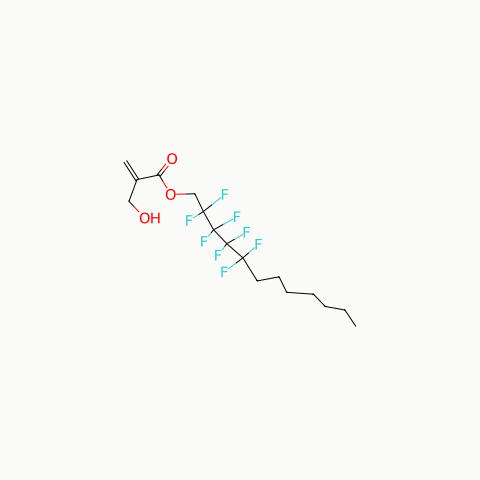 C=C(CO)C(=O)OCC(F)(F)C(F)(F)C(F)(F)C(F)(F)CCCCCCC